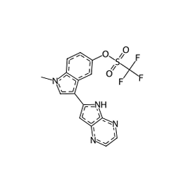 Cn1cc(-c2cc3nccnc3[nH]2)c2cc(OS(=O)(=O)C(F)(F)F)ccc21